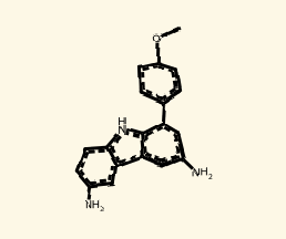 COc1ccc(-c2cc(N)cc3c2[nH]c2ccc(N)cc23)cc1